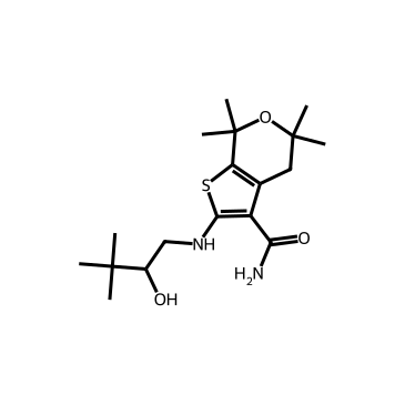 CC1(C)Cc2c(sc(NCC(O)C(C)(C)C)c2C(N)=O)C(C)(C)O1